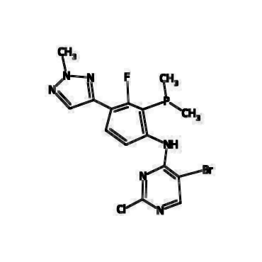 Cn1ncc(-c2ccc(Nc3nc(Cl)ncc3Br)c(P(C)C)c2F)n1